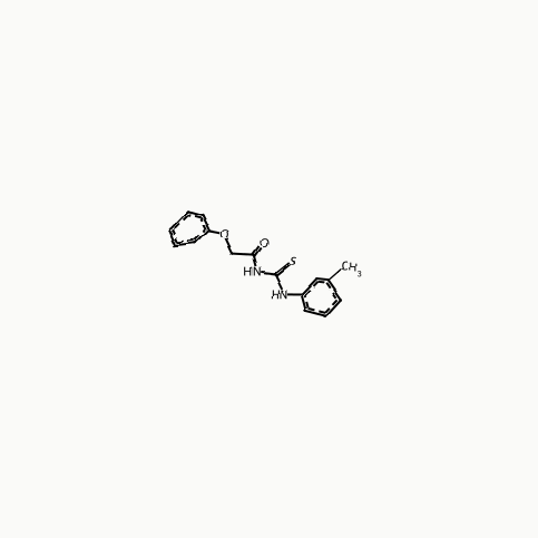 Cc1cccc(NC(=S)NC(=O)COc2ccccc2)c1